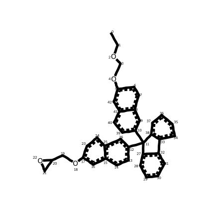 CCOCOc1ccc2cc(C3(c4ccc5cc(OCC6CO6)ccc5c4)c4ccccc4-c4ccccc43)ccc2c1